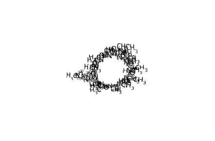 C/C=C/C[C@@H](C)[C@@H](O)[C@H]1C(=O)N[C@@H](CC)C(=O)N(C)[C@H](C)C(=O)N(C)[C@@H]([C@H](C)CCC(=O)N2CCN(C)CC2)C(=O)N[C@@H](C(C)C)C(=O)N(C)[C@@H](CC(C)C)C(=O)N[C@@H](C)C(=O)N[C@H](C)C(=O)N(C)[C@@H](CC(C)C)C(=O)N(C)[C@@H](CC(C)C)C(=O)N(C)[C@@H](C(C)C)C(=O)N1C